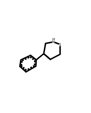 c1ccc(C2CCSNC2)cc1